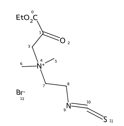 CCOC(=O)C(=O)C[N+](C)(C)CCN=C=S.[Br-]